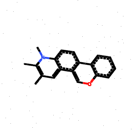 CC1=C(C)N(C)c2ccc3c(c2=C1)=COc1ccccc1-3